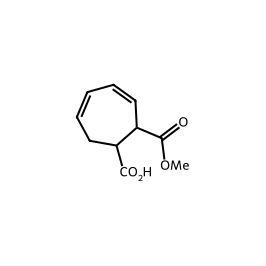 COC(=O)C1C=CC=CCC1C(=O)O